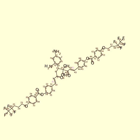 Nc1ccc(C(CC(=O)/C=C/c2ccc(OC(=O)c3ccc(OCCCC(F)(F)C(F)(F)F)cc3)cc2)C(O)(O)C(=O)/C=C/c2ccc(OC(=O)c3ccc(OCCCC(F)(F)C(F)(F)F)cc3)cc2)c(N)c1